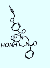 CC#CCOc1ccc(S(=O)(=O)N2CCN(C(=O)c3ccccc3)CCC2C(=O)NO)cc1